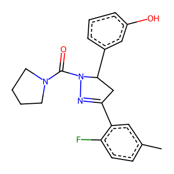 Cc1ccc(F)c(C2=NN(C(=O)N3CCCC3)C(c3cccc(O)c3)C2)c1